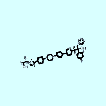 CC[C@@H]([C@H](C)O)n1cnc(-c2ccc(N3CCN(c4ccc(-c5ccc(C(F)(F)[C@](O)(Cn6cnnn6)c6ccc(F)cc6F)nc5)cc4)CC3)cc2)n1